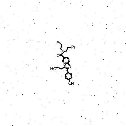 CC(C)CCN(CCC(C)C)C(=O)c1ccc2nc(-c3ccc(C#N)cc3)c(CCO)n2c1